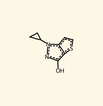 Oc1nn(C2CC2)c2ccsc12